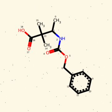 CC(NC(=O)OCc1ccccc1)C(C)(C)C(=O)O